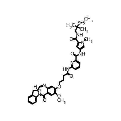 COc1cc2c(cc1OCCCC(=O)Nc1cccc(C(=O)Nc3cc(C(=O)NCC(C)(C)SSC)n(C)c3)n1)N=C[C@@H]1Cc3ccccc3N1C2=O